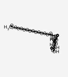 CC(=O)SCCOCCOCCOCCOCCOCCOCCOCCOCCOCCOCCOCCOCCC(=O)NCCCOc1ccccc1CNC(=O)Nc1nc(C(=O)NCC(=O)NC(CC(=O)O)c2ccccc2)cs1